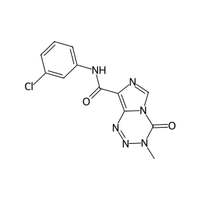 Cn1nnc2c(C(=O)Nc3cccc(Cl)c3)ncn2c1=O